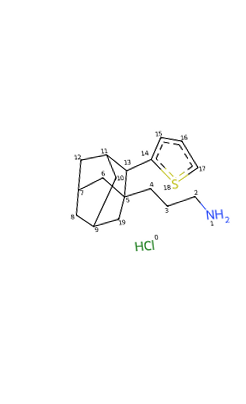 Cl.NCCCC12CC3CC(CC(C3)C1c1cccs1)C2